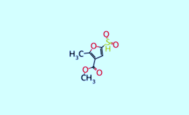 COC(=O)c1cc([SH](=O)=O)oc1C